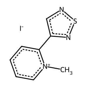 C[n+]1ccccc1-c1cnsn1.[I-]